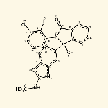 O=C(O)Nc1nc2cc(C3(O)c4ccccc4C(=O)N3c3cccc(Cl)c3F)ccc2o1